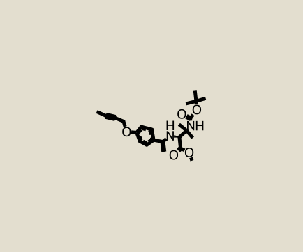 C=C(N[C@H](C(=O)OC)C(C)(C)NC(=O)OC(C)(C)C)c1ccc(OCC#CC)cc1